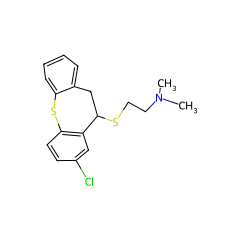 CN(C)CCSC1Cc2ccccc2Sc2ccc(Cl)cc21